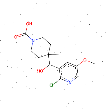 COc1cnc(Cl)c(C(O)C2(C)CCN(C(=O)O)CC2)c1